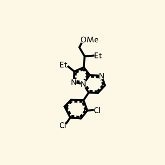 CCc1nn2c(-c3ccc(Cl)cc3Cl)ccnc2c1C(CC)COC